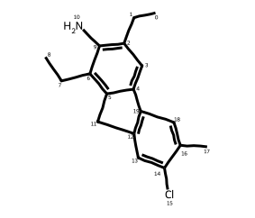 CCc1cc2c(c(CC)c1N)Cc1cc(Cl)c(C)cc1-2